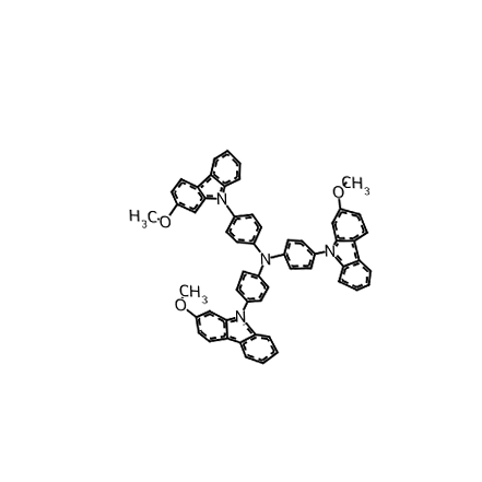 COc1ccc2c3ccccc3n(-c3ccc(N(c4ccc(-n5c6ccccc6c6ccc(OC)cc65)cc4)c4ccc(-n5c6ccccc6c6ccc(OC)cc65)cc4)cc3)c2c1